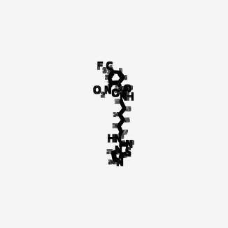 O=[N+]([O-])c1cc(C(F)(F)F)ccc1S(=O)(=O)NCCCCCCNc1nsc2nccn12